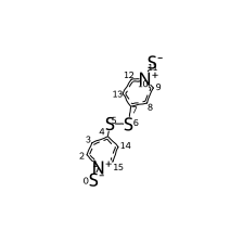 [S-][n+]1ccc(SSc2cc[n+]([S-])cc2)cc1